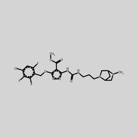 COC(=O)c1c(OCc2c(F)cc(Cl)c(F)c2F)nsc1NC(=O)NCCCN1CC2CC1CN2C